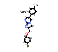 COc1cc(C#N)ccc1-c1cnc2nc(COc3ccc(F)cc3)cn2c1